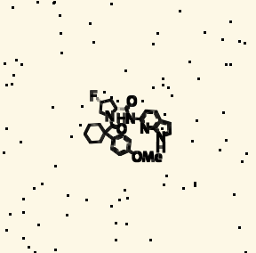 COc1ccc(C2(C(=O)N3C[C@H](F)C[C@@H]3C(=O)Nc3ccc4cc[nH]c4n3)CCCCC2)cc1